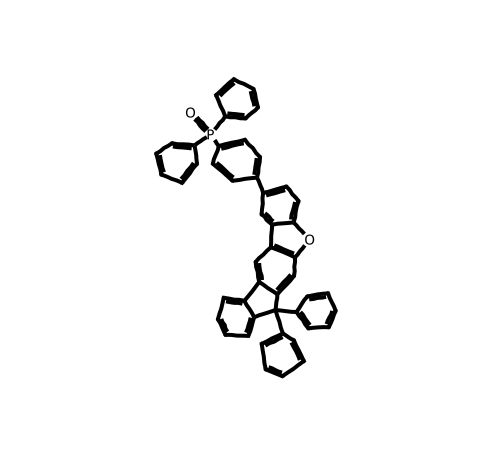 O=P(c1ccccc1)(c1ccccc1)c1ccc(-c2ccc3oc4cc5c(cc4c3c2)-c2ccccc2C5(c2ccccc2)c2ccccc2)cc1